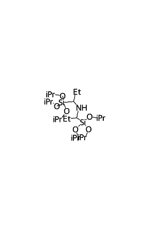 CCC(NC(CC)[Si](OC(C)C)(OC(C)C)OC(C)C)[Si](OC(C)C)(OC(C)C)OC(C)C